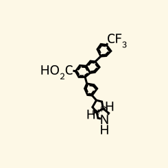 O=C(O)c1cc(-c2ccc(C3C[C@H]4CNC[C@@H]4C3)cc2)c2ccc(-c3ccc(C(F)(F)F)cc3)cc2c1